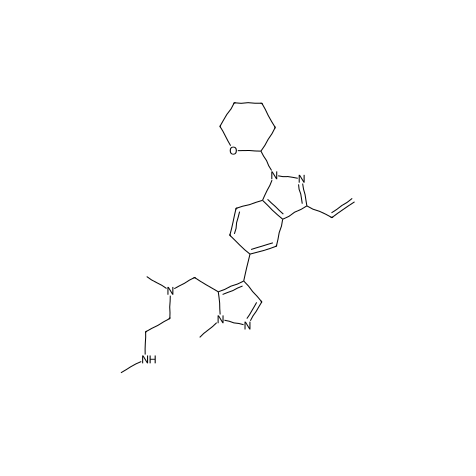 C=Cc1nn(C2CCCCO2)c2ccc(-c3cnn(C)c3CN(C)CCNC)cc12